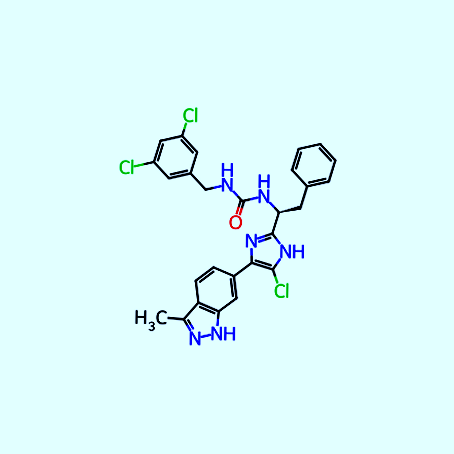 Cc1n[nH]c2cc(-c3nc([C@H](Cc4ccccc4)NC(=O)NCc4cc(Cl)cc(Cl)c4)[nH]c3Cl)ccc12